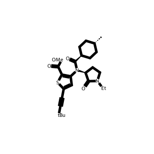 CCN1CC[C@H](N(c2cc(C#CC(C)(C)C)sc2C(=O)OC)C(=O)[C@H]2CC[C@H](C)CC2)C1=O